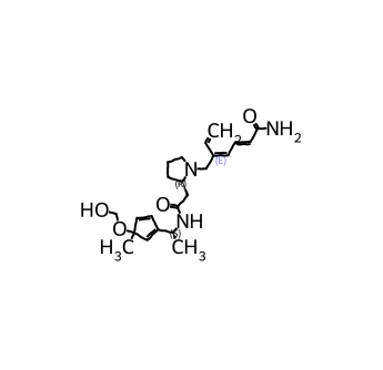 C=C/C(=C\C=CC(N)=O)CN1CCC[C@@H]1CC(=O)N[C@@H](C)C1=CC(C)(OCO)C=C1